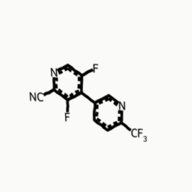 N#Cc1ncc(F)c(-c2ccc(C(F)(F)F)nc2)c1F